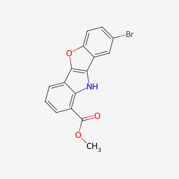 COC(=O)c1cccc2c1[nH]c1c3cc(Br)ccc3oc21